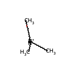 CCCCCCCCCCCCCCCCCCC[n+]1ccn(CCCCCCCC)c1CCCCCCCCCCCCCCCCC